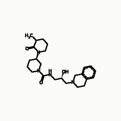 CC1CCCN([C@@H]2CCCN(C(=O)NC[C@H](O)CN3CCc4ccccc4C3)C2)C1=O